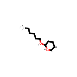 FC(F)(F)CCCCCOC1CCCCO1